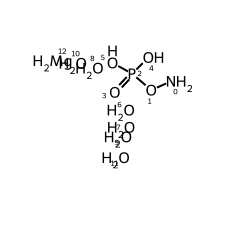 NOP(=O)(O)O.O.O.O.O.O.O.[MgH2]